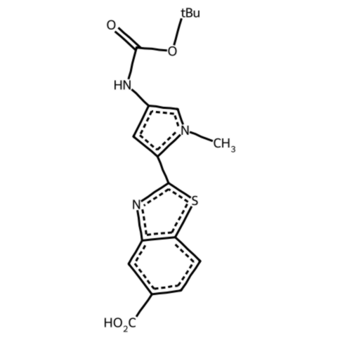 Cn1cc(NC(=O)OC(C)(C)C)cc1-c1nc2cc(C(=O)O)ccc2s1